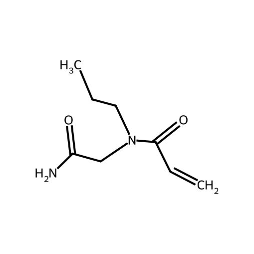 C=CC(=O)N(CCC)CC(N)=O